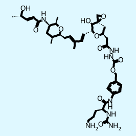 CC(C=C[C@H]1O[C@H](CC(=O)NNC(=O)OCc2ccc(NC(=O)[C@H](CCCN)NC(N)=O)cc2)C[C@@]2(CO2)[C@@H]1O)=CC[C@@H]1O[C@H](C)[C@H](NC(=O)C=C[C@H](C)O)C[C@@H]1C